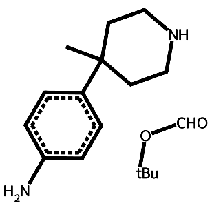 CC(C)(C)OC=O.CC1(c2ccc(N)cc2)CCNCC1